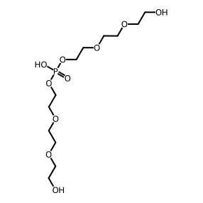 O=P(O)(OCCOCCOCCO)OCCOCCOCCO